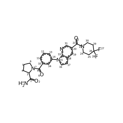 NC(=O)C1CCCN1C(=O)c1cccc(-n2ccc3cc(C(=O)N4CCC(F)(F)CC4)cnc32)c1